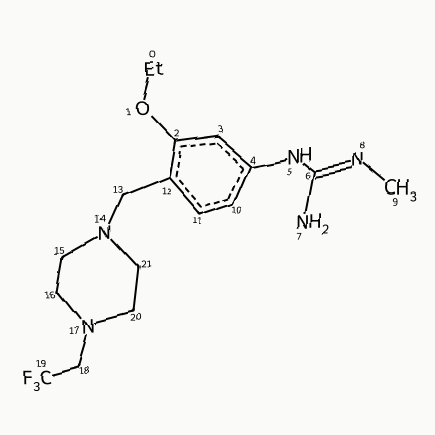 CCOc1cc(N/C(N)=N/C)ccc1CN1CCN(CC(F)(F)F)CC1